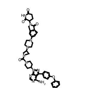 Nc1ncnc2c1c(-c1ccc(Oc3ccccc3)cc1)nn2C1CCN(C(=O)N2CC(N3CCN(c4ccc5c(c4)CN(C4CCC(=O)NC4=O)C5=O)CC3)C2)CC1